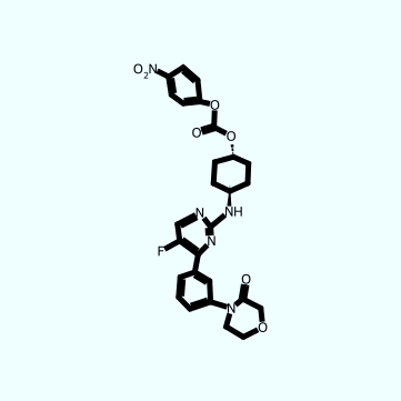 O=C(Oc1ccc([N+](=O)[O-])cc1)O[C@H]1CC[C@H](Nc2ncc(F)c(-c3cccc(N4CCOCC4=O)c3)n2)CC1